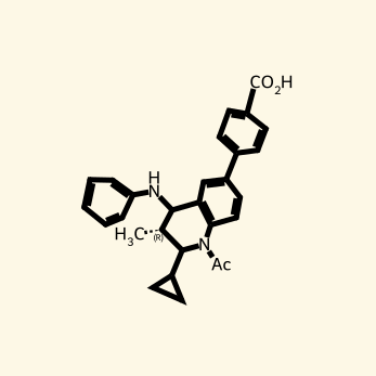 CC(=O)N1c2ccc(-c3ccc(C(=O)O)cc3)cc2C(Nc2ccccc2)[C@@H](C)C1C1CC1